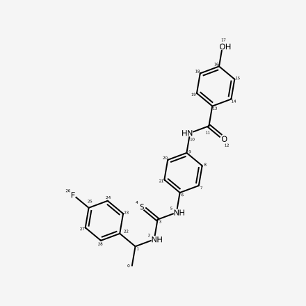 CC(NC(=S)Nc1ccc(NC(=O)c2ccc(O)cc2)cc1)c1ccc(F)cc1